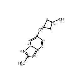 Cc1nc2ccc(OC3CN(C)C3)cn2n1